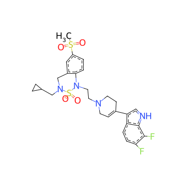 CS(=O)(=O)c1ccc2c(c1)CN(CC1CC1)S(=O)(=O)N2CCN1CC=C(c2c[nH]c3c(F)c(F)ccc23)CC1